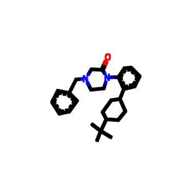 CC(C)(C)C1CCC(c2ccccc2N2CCN(Cc3ccccc3)CC2=O)CC1